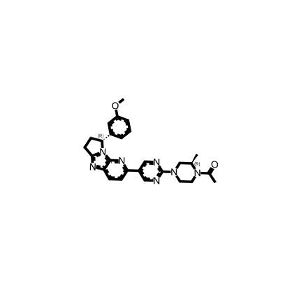 COc1cccc([C@H]2CCc3nc4ccc(-c5cnc(N6CCN(C(C)=O)[C@H](C)C6)nc5)nc4n32)c1